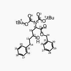 CC(C)(C)OC(=O)N(C(=O)OC(C)(C)C)C(CC(O)CCc1ccccc1)C(=O)OCc1ccccc1